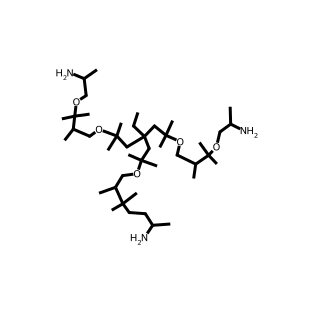 CCC(CC(C)(C)OCC(C)C(C)(C)CCC(C)N)(CC(C)(C)OCC(C)C(C)(C)OCC(C)N)CC(C)(C)OCC(C)C(C)(C)OCC(C)N